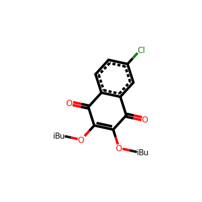 CCC(C)OC1=C(OC(C)CC)C(=O)c2cc(Cl)ccc2C1=O